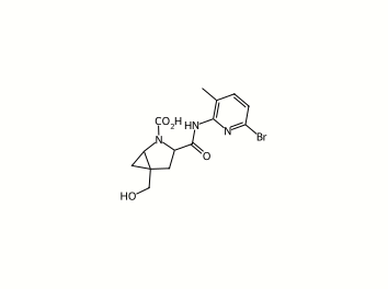 Cc1ccc(Br)nc1NC(=O)C1CC2(CO)CC2N1C(=O)O